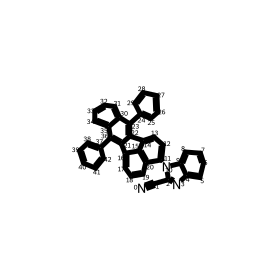 N#Cc1nc2ccccc2n1-c1ccc2c3c(cccc13)-c1c-2c(-c2ccccc2)c2ccccc2c1-c1ccccc1